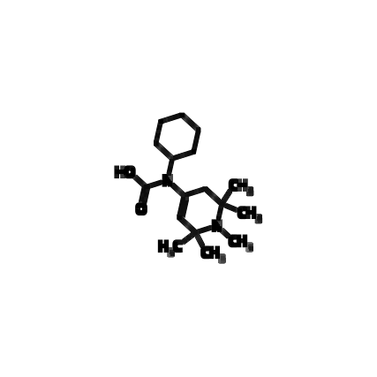 CN1C(C)(C)C=C(N(C(=O)O)C2CCCCC2)CC1(C)C